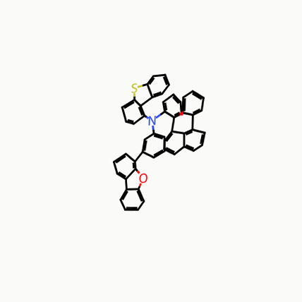 c1ccc(-c2cccc3cccc(-c4ccccc4N(c4cccc(-c5cccc6c5oc5ccccc56)c4)c4cccc5sc6ccccc6c45)c23)cc1